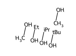 CC(C)(C)O.CC(C)O.CCO.CO.CO